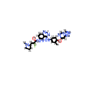 Cc1cc(Nc2ncnc3ccc(NC(=O)/C(F)=C/C4CCCN4C)cc23)ccc1Oc1cc2nncn2cn1